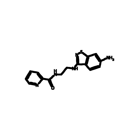 Nc1ccc2c(NCCNC(=O)c3ccccn3)nsc2c1